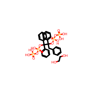 O=P(O)(O)OP(=O)(O)OC(Cc1ccccc1)(c1ccccc1)C(OP(=O)(O)OP(=O)(O)O)(c1ccccc1)c1ccccc1.OCCO